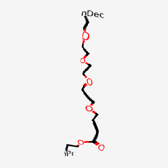 CCCCCCCCCCCCOCCOCCOCCOCCCC(=O)OCCC(C)C